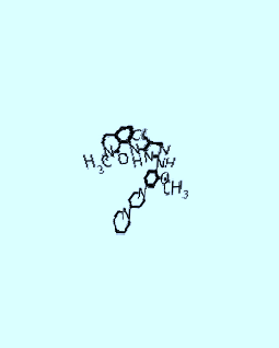 COc1cc(N2CCC(N3CCCCC3)CC2)ccc1Nc1ncc(Cl)c(Nc2cccc3c2C(=O)N(C)CC3)n1